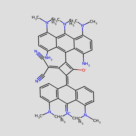 CN(C)c1cccc2c1C(=[N+](C)C)c1c(cccc1N(C)C)C2=C1C([O-])=C(c2c3c(N)ccc(N(C)C)c3c(N(C)C)c3c(N(C)C)ccc(N)c23)C1=C(C#N)C#N